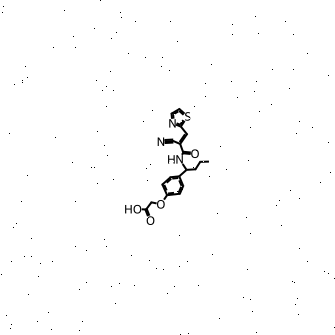 CCCC(NC(=O)C(C#N)=Cc1nccs1)c1ccc(OCC(=O)O)cc1